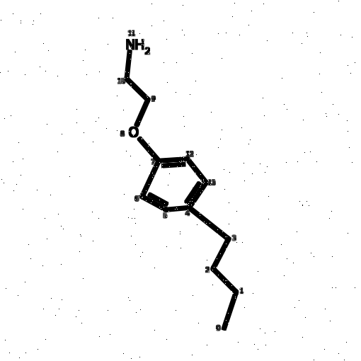 CCCCc1ccc(OCCN)cc1